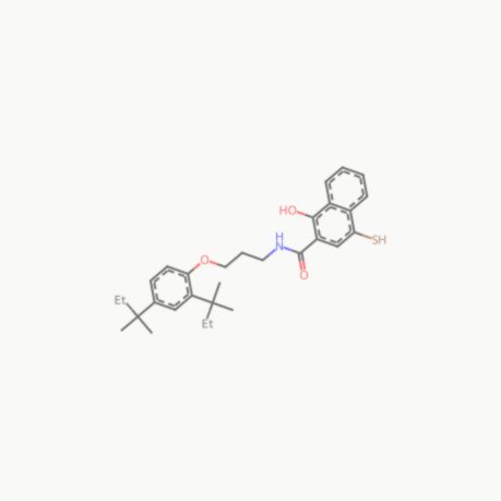 CCC(C)(C)c1ccc(OCCCNC(=O)c2cc(S)c3ccccc3c2O)c(C(C)(C)CC)c1